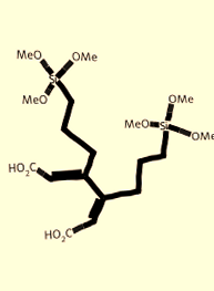 CO[Si](CCCC(=CC(=O)O)C(=CC(=O)O)CCC[Si](OC)(OC)OC)(OC)OC